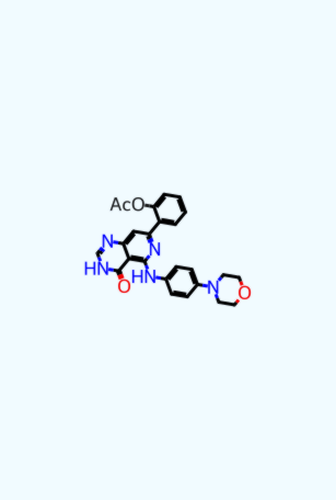 CC(=O)Oc1ccccc1-c1cc2nc[nH]c(=O)c2c(Nc2ccc(N3CCOCC3)cc2)n1